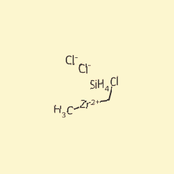 [CH3][Zr+2][CH2]Cl.[Cl-].[Cl-].[SiH4]